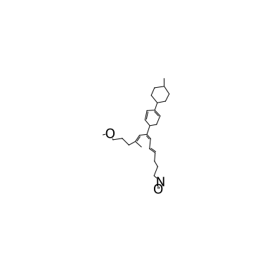 COCCC/C(C)=C/C(=C\C=C\CCCN=O)C1C=CC(C2CCC(C)CC2)=CC1